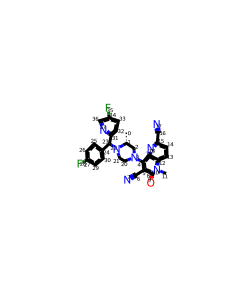 C[C@@H]1CN(c2c(C#N)c(=O)n(C)c3ccc(C#N)nc23)CCN1C(c1ccc(F)cc1)c1ccc(F)cn1